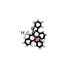 CC(C(=O)C(C)c1ccccc1-c1noc2ccccc12)c1ccccc1-c1noc2ccccc12